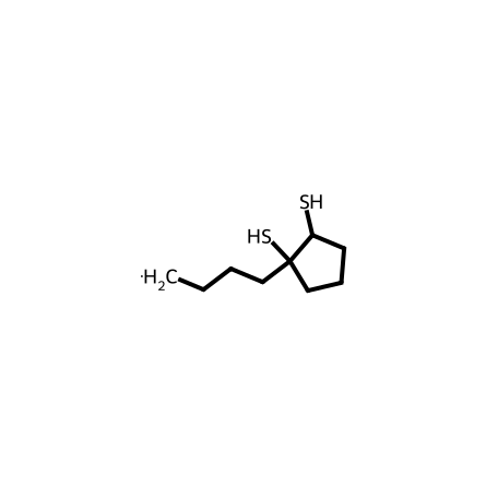 [CH2]CCCC1(S)CCCC1S